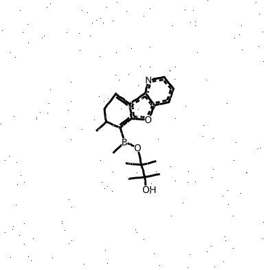 CB(OC(C)(C)C(C)(C)O)C1=c2oc3cccnc3c2=CCC1C